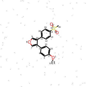 CCOc1ccc(-c2cocc2-c2ccc(S(C)(=O)=O)cc2)cc1